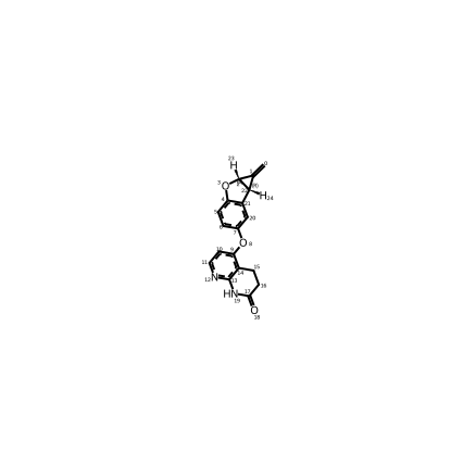 C=C1[C@H]2Oc3ccc(Oc4ccnc5c4CCC(=O)N5)cc3[C@@H]12